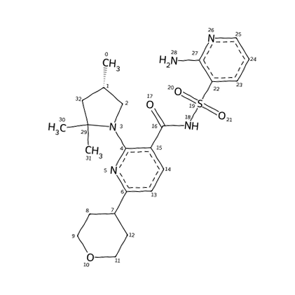 C[C@@H]1CN(c2nc(C3CCOCC3)ccc2C(=O)NS(=O)(=O)c2cccnc2N)C(C)(C)C1